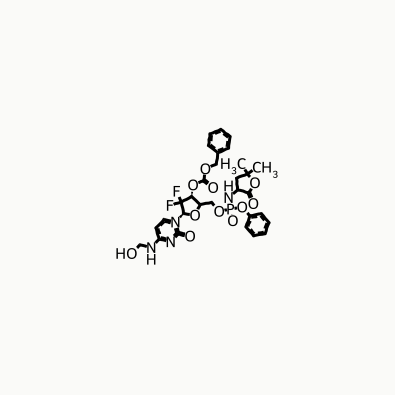 CC1(C)CC(NP(=O)(OCC2O[C@@H](n3ccc(NCO)nc3=O)C(F)(F)[C@@H]2OC(=O)OCc2ccccc2)Oc2ccccc2)C(=O)O1